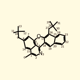 Cc1cnc2c3c(cc(CC(C)(C)C)cc13)Oc1c-2cc2ccccc2c1CC(C)(C)C